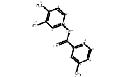 Cc1ccc(NC(=O)c2cc(C(F)(F)F)ccn2)cc1C(C)C